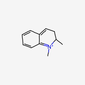 CC1CC=c2ccccc2=[N+]1C